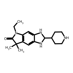 CCN1C(=O)C(C)(C)c2cc3c(cc21)NC(C1CCNCC1)N3